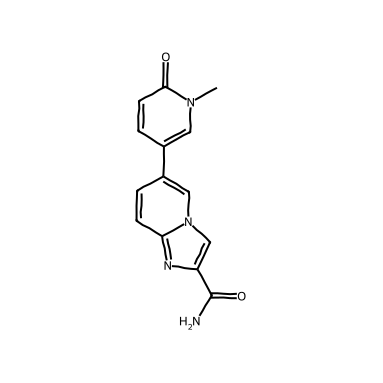 Cn1cc(-c2ccc3nc(C(N)=O)cn3c2)ccc1=O